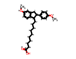 COc1ccc(C2Cc3cc(OC)ccc3C2CCCCCCCCCC(=O)O)cc1